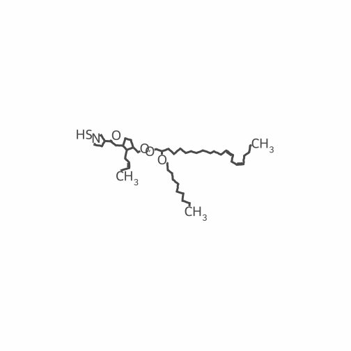 CC/C=C\CC1C(COOCC(CCCCCCCCCC/C=C\C/C=C\CCCC)OCCCCCCCCCC)CCC1CC(=O)C1CCN(S)C1